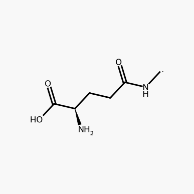 [CH2]NC(=O)CC[C@@H](N)C(=O)O